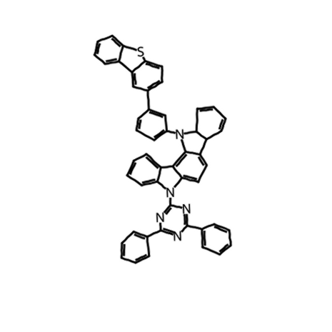 C1=CC2c3ccc4c(c3N(c3cccc(-c5ccc6sc7ccccc7c6c5)c3)C2C=C1)c1ccccc1n4-c1nc(-c2ccccc2)nc(-c2ccccc2)n1